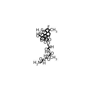 C=Nc1cc(F)c(C)c2c1C(=C1CNC(=O)C3=C1[C@@](O)(CC)C(=O)OC3)[C@@H](NC(=O)COCNC(=O)CNC(=O)[C@H](C)NC(=O)CNC(=O)CN)CC2